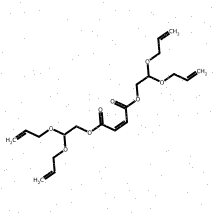 C=CCOC(COC(=O)/C=C\C(=O)OCC(OCC=C)OCC=C)OCC=C